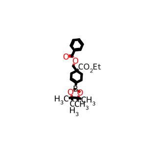 CCOC(=O)C1(COC(=O)c2ccccc2)CC=C(B2OC(C)(C)C(C)(C)O2)CC1